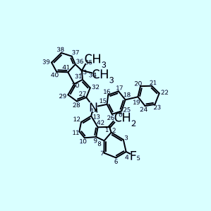 C=C1c2cc(F)ccc2-c2cccc(N(c3ccc(-c4ccccc4)cc3)c3ccc4c(c3)C(C)(C)c3ccccc3-4)c21